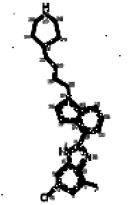 Cc1cc(Cl)cc2[nH]c(-c3cccc4c3ccn4CCCCC3CCNCC3)nc12